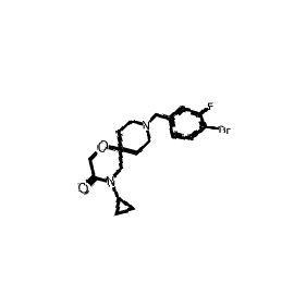 O=C1COC2(CCN(Cc3ccc(Br)c(F)c3)CC2)CN1C1CC1